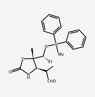 CC[C@@H](O[Si](c1ccccc1)(c1ccccc1)C(C)(C)C)[C@@]1(C)OC(=O)N[C@@H]1C(C)C=O